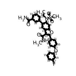 CCN(c1cc2oc(-c3ccc(Oc4cccc(F)c4)cc3)c(C(=O)NC)c2cc1-c1cccc(C(N)=O)c1)S(C)(=O)=O